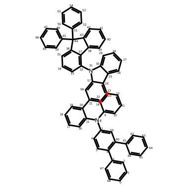 c1ccc(-c2ccc(N(c3ccccc3)c3ccccc3-c3ccc4c5ccccc5n(-c5cccc6c5-c5ccccc5C6(c5ccccc5)c5ccccc5)c4c3)cc2-c2ccccc2)cc1